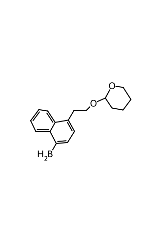 Bc1ccc(CCOC2CCCCO2)c2ccccc12